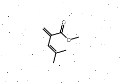 C=C(C=C(C)C)C(=O)OC